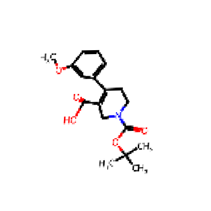 COc1cccc(C2=C(C(=O)O)CN(C(=O)OC(C)(C)C)CC2)c1